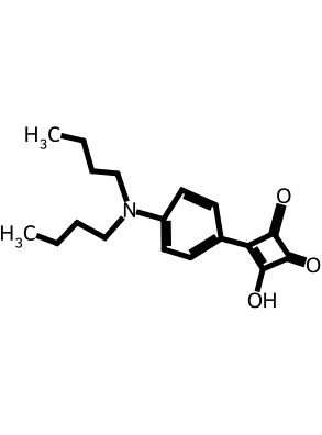 CCCCN(CCCC)c1ccc(-c2c(O)c(=O)c2=O)cc1